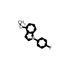 COc1cccc2c1ccn2-c1ccc(F)cc1